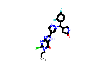 CCCn1c(Cl)nc2nc(-c3cnn(C(c4ccc(F)cc4F)C4CNC(=O)C4)c3)[nH]c2c1=O